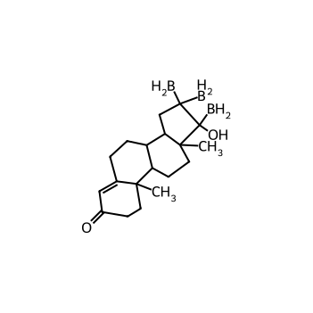 BC1(B)CC2C3CCC4=CC(=O)CCC4(C)C3CCC2(C)C1(B)O